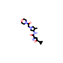 CC1CN(CC(=O)N2CCOCC2)CC1NC(=O)c1cc(C2CC2)on1